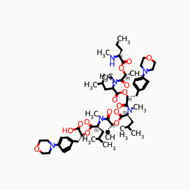 C#C[C@@H](OC(=O)[C@H](CC(C)C)N(C)C(=O)[C@@H](Cc1ccc(N2CCOCC2)cc1)OC(=O)C(CC(C)C)N(C)C(=O)[C@@H](C)OC(=O)[C@H](CCC)NC)C(=O)N(C)[C@@H](CC(C)C)C(=O)O[C@H](Cc1c#cc(N2CCOCC2)cc1)C(=O)O